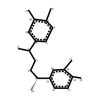 Cc1ccc(C(C)CC[C@@H](C)c2ccc(C)c(C)c2)cc1C